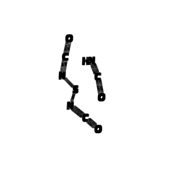 N=C=O.O=C=NSN=C=O